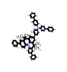 CC1(C)c2cc(-c3ccccc3)ccc2N2c3ccc(-c4ccccc4)cc3C(C)(C)c3cc(-c4ccc(N(c5ccc(-c6ccccc6)cc5)c5ccc(-c6ccccc6)cc5)cc4)cc1c32